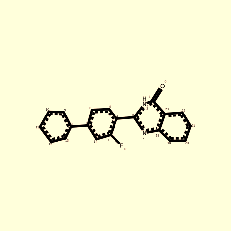 O=c1[nH]c(-c2ccc(-c3ccccc3)cc2F)nc2ccccc12